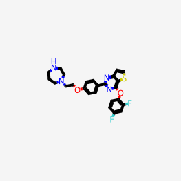 Fc1ccc(Oc2nc(-c3ccc(OCCN4CCCNCC4)cc3)nc3ccsc23)c(F)c1